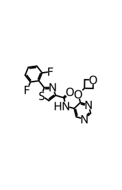 O=C(Nc1cncnc1OC1COC1)c1csc(-c2c(F)cccc2F)n1